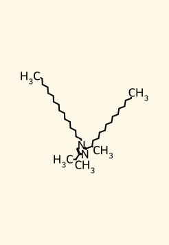 CCCCCCCCCCCCCCCCn1cc(C(C)C)nc1C(C)CCCCCCCCCCCCC